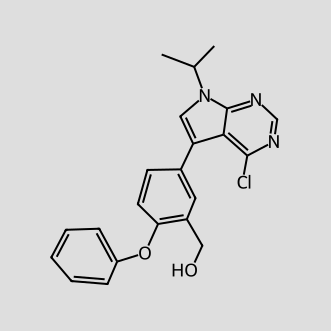 CC(C)n1cc(-c2ccc(Oc3ccccc3)c(CO)c2)c2c(Cl)ncnc21